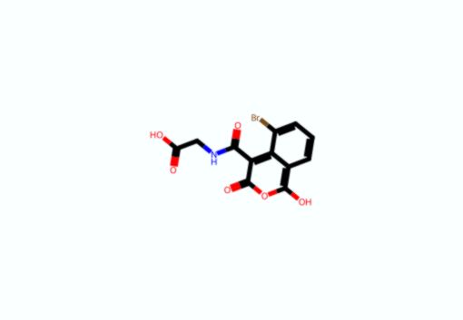 O=C(O)CNC(=O)c1c(=O)oc(O)c2cccc(Br)c12